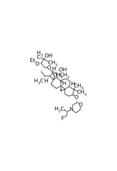 CCO[C@@H]([C@H]1C[C@@H](C)[C@H]2[C@H](O1)[C@H](O)[C@@]1(C)[C@@H]3CC[C@H]4C(C)(C)[C@@H](O[C@H]5CN([C@H](C)CF)CCO5)CCC45C[C@@]35CC[C@]21C)C(C)(C)O